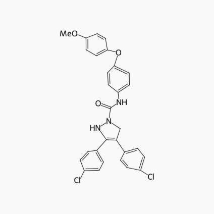 COc1ccc(Oc2ccc(NC(=O)N3CC(c4ccc(Cl)cc4)=C(c4ccc(Cl)cc4)N3)cc2)cc1